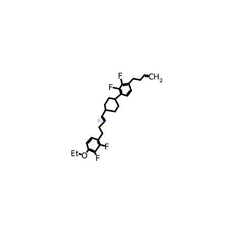 C=CCCc1ccc(C2CCC(/C=C/CCc3ccc(OCC)c(F)c3F)CC2)c(F)c1F